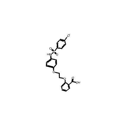 O=C(O)c1ccccc1OCCOc1ccc(NS(=O)(=O)c2ccc(Cl)cc2)cc1